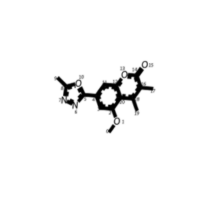 COc1cc(-c2nnc(C)o2)cc2oc(=O)c(C)c(C)c12